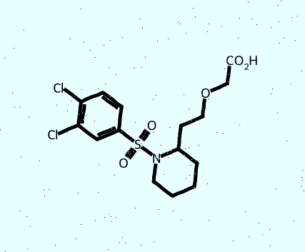 O=C(O)COCCC1CCCCN1S(=O)(=O)c1ccc(Cl)c(Cl)c1